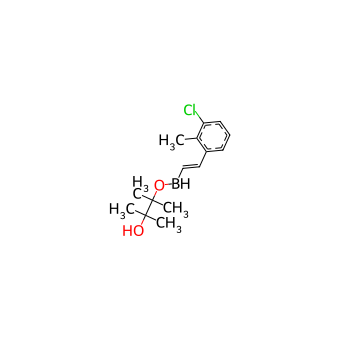 Cc1c(Cl)cccc1/C=C/BOC(C)(C)C(C)(C)O